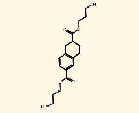 CCCCOC(=O)c1ccc2c(c1)CCC(C(=O)OCCCC)C2